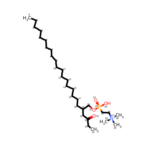 CCCCCCCCCCCCCCCCCCCC(COP(=O)(O)CC[N+](C)(C)C)CC(=O)CC